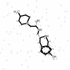 CC1CCN(C[C@@H](NC[C@H]2Cc3ccc(O)cc3CN2)C(C)C)CC1